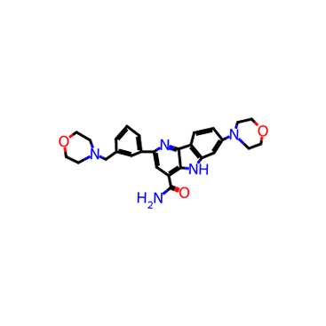 NC(=O)c1cc(-c2cccc(CN3CCOCC3)c2)nc2c1[nH]c1cc(N3CCOCC3)ccc12